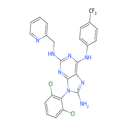 Nc1nc2c(Nc3ccc(C(F)(F)F)cc3)nc(NCc3ccccn3)nc2n1-c1c(Cl)cccc1Cl